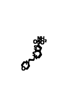 NS(=O)(=O)c1cc2c(s1)SN(CCN1CCOCC1)C=C2